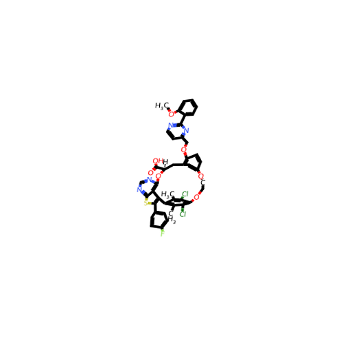 COc1ccccc1-c1nccc(COc2ccc3cc2C[C@H](C(=O)O)Oc2ncnc4sc(-c5ccc(F)cc5)c(c24)-c2c(C)c(Cl)c(c(Cl)c2C)OCCO3)n1